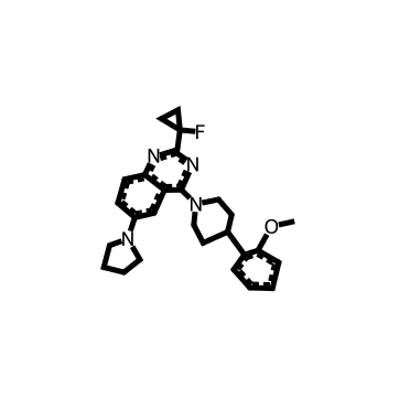 COc1ccccc1C1CCN(c2nc(C3(F)CC3)nc3ccc(N4CCCC4)cc23)CC1